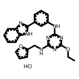 CCOc1nc(NCc2ccco2)nc(Nc2cccc(-c3nc4ccccc4[nH]3)c2)n1.Cl